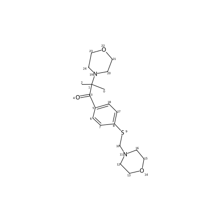 CC(C)(C(=O)c1ccc(SCN2CCOCC2)cc1)N1CCOCC1